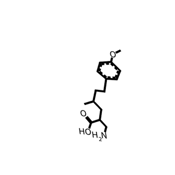 COc1ccc(CCC(C)CC(CN)C(=O)O)cc1